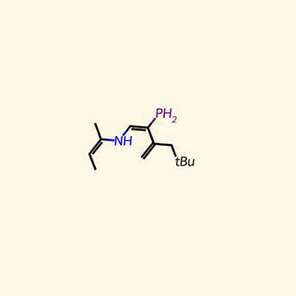 C=C(CC(C)(C)C)/C(P)=C\N/C(C)=C\C